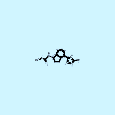 CC(C)(C)OC(=O)N[C@@H]1CCc2c(-c3nc(Br)ns3)cccc21